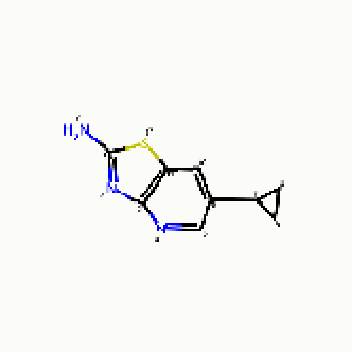 Nc1nc2ncc(C3CC3)cc2s1